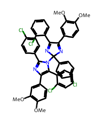 COc1ccc(C2=NC(c3ccc(Cl)cc3)(n3c(-c4ccc(Cl)cc4)nc(-c4ccc(OC)c(OC)c4)c3-c3ccccc3Cl)N=C2c2ccccc2Cl)cc1OC